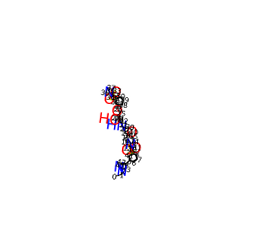 CCn1cc(-c2cccc(S(=O)(=O)N3CCC4(CC3)CC(NC[C@H](O)COc3cccc(S(=O)(=O)N(C)C)c3)CO4)c2)cn1